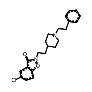 O=c1c2cc(Cl)ccc2on1CCC1CCN(CCc2ccccc2)CC1